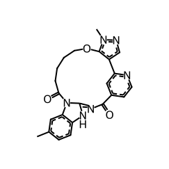 Cc1ccc2c(c1)N1C(=O)CCCCOc3c(cnn3C)-c3cc(ccn3)C(=O)/N=C/1N2